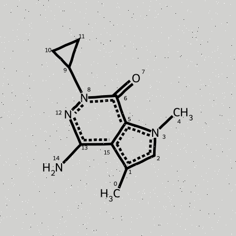 Cc1cn(C)c2c(=O)n(C3CC3)nc(N)c12